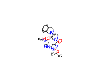 CCC(CC)Oc1nc(NC2CCN(C(C)=O)CC2)cc(C(=O)N2CC[C@@H](N3CCc4ccccc4C3)[C@H](O)C2)n1